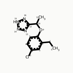 CCc1cc(Cl)ccc1OC(C)c1nn[nH]n1